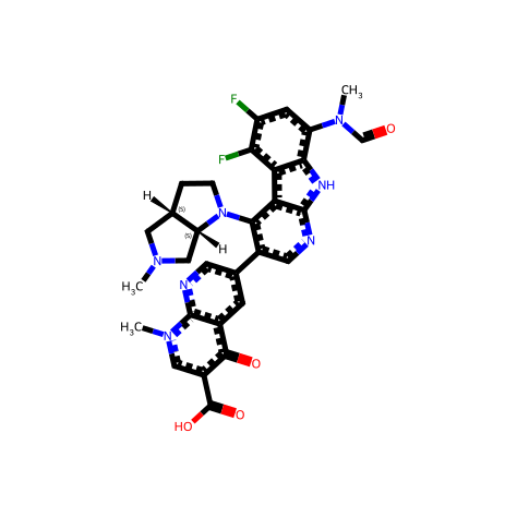 CN1C[C@@H]2CCN(c3c(-c4cnc5c(c4)c(=O)c(C(=O)O)cn5C)cnc4[nH]c5c(N(C)C=O)cc(F)c(F)c5c34)[C@@H]2C1